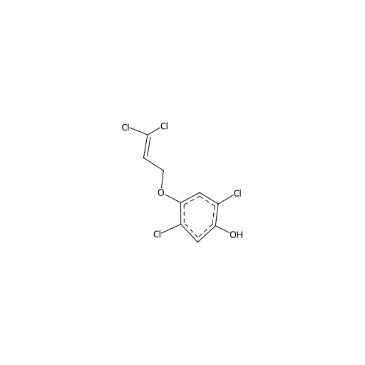 Oc1cc(Cl)c(OCC=C(Cl)Cl)cc1Cl